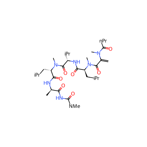 C=C(C(=O)N(C)[C@@H](CC(C)C)C(=O)N[C@H](C(=O)N(C)[C@@H](CC(C)C)C(=O)N[C@H](C)C(=O)NC(=O)NC)C(C)C)N(C)C(=O)CCC